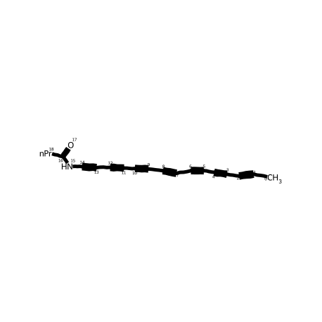 CC#CC#CC#CC#CC#CC#CC#CNC(=O)CCC